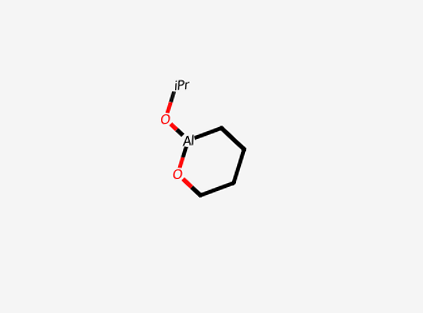 CC(C)[O][Al]1[CH2]CCC[O]1